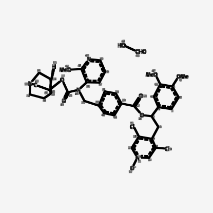 COc1ccc(C(Cc2c(Cl)c[n+]([O-])cc2Cl)OC(=O)c2ccc(CN(C(=O)O[C@H]3CN4CCC3CC4)c3cccnc3OC)cc2)cc1OC.O=CO